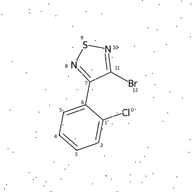 Clc1ccccc1-c1nsnc1Br